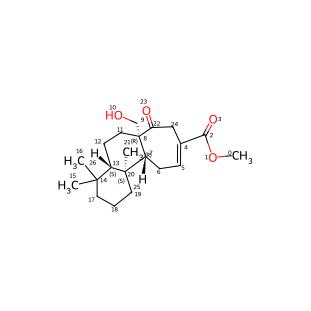 COC(=O)C1=CC[C@H]2[C@@](CO)(CC[C@H]3C(C)(C)CCC[C@@]32C)C(=O)C1